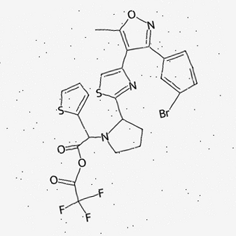 Cc1onc(-c2cccc(Br)c2)c1-c1csc(C2CCCN2C(C(=O)OC(=O)C(F)(F)F)c2cccs2)n1